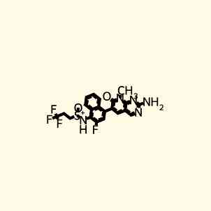 Cn1c(=O)c(-c2cc(F)c(N[S+]([O-])CCC(F)(F)F)c3ccccc23)cc2cnc(N)nc21